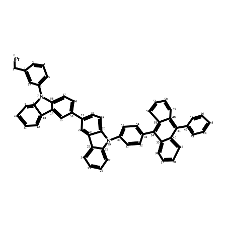 CC(C)Cc1cccc(-n2c3ccccc3c3cc(-c4ccc5c(c4)c4ccccc4n5-c4ccc(-c5c6ccccc6c(-c6ccccc6)c6ccccc56)cc4)ccc32)c1